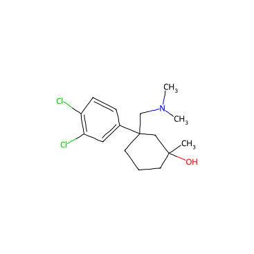 CN(C)CC1(c2ccc(Cl)c(Cl)c2)CCCC(C)(O)C1